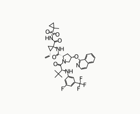 C=C[C@@H]1C[C@]1(NC(=O)[C@@H]1C[C@@H](Oc2nccc3ccccc23)CN1C(=O)[C@@H](Nc1cc(F)cc(C(F)(F)F)c1)C(C)(C)C)C(=O)NS(=O)(=O)C1(C)CC1